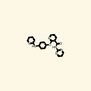 O=C(Nc1ncccn1)c1cccnc1Oc1ccc(Nc2ccccn2)cc1